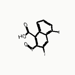 O=Ic1c(I)cc2c(I)cccc2c1C(=O)O